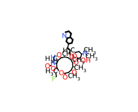 CC1CC(N(C)C)C(O)C(O[C@@H]2[C@@H](C)C(=O)[C@@H](C)C(=O)O[C@H](CCF)[C@@]3(C)OC(=O)N[C@@H]3[C@@H](C)C(=O)[C@H](C)C[C@@]2(C)OC/C=C/c2ccc3cccnc3c2)O1